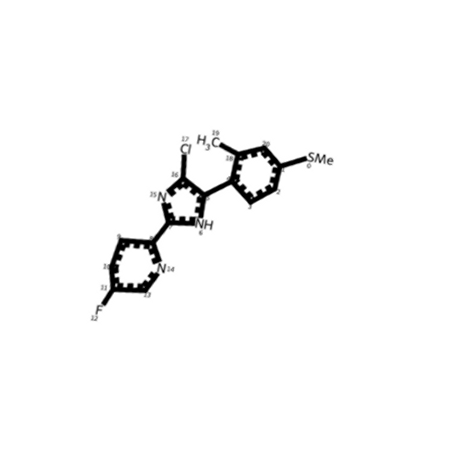 CSc1ccc(-c2[nH]c(-c3ccc(F)cn3)nc2Cl)c(C)c1